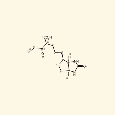 O=C1N[C@H]2[C@H](CS[C@H]2CCCC(C(=O)O)C(=O)CBr)N1